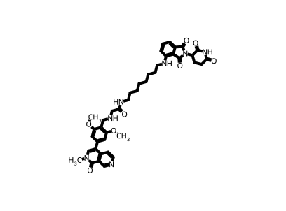 COc1cc(-c2cn(C)c(=O)c3cnccc23)cc(OC)c1CNCC(=O)NCCCCCCCCNc1cccc2c1C(=O)N(C1CCC(=O)NC1=O)C2=O